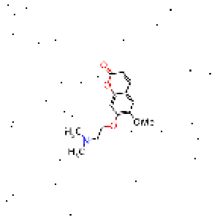 COc1cc2ccc(=O)oc2cc1OCCN(C)C